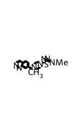 CNc1nnc(N2CCN(C(C)c3ccc4ccnnc4c3)CC2)s1